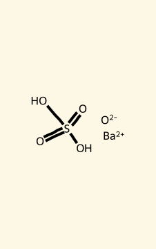 O=S(=O)(O)O.[Ba+2].[O-2]